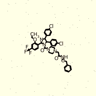 CCOc1cc(C(F)(F)F)ccc1C1=NC(c2ccc(Cl)cc2)C(c2ccc(Cl)cc2)N1C(=O)N1CCN(CC(=O)NOCc2ccccc2)CC1